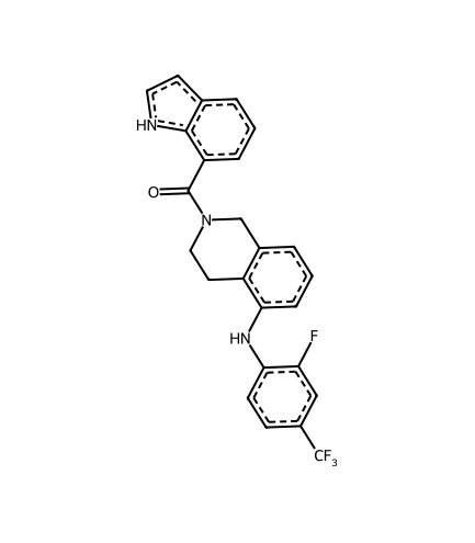 O=C(c1cccc2cc[nH]c12)N1CCc2c(cccc2Nc2ccc(C(F)(F)F)cc2F)C1